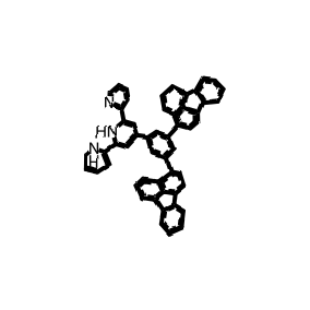 C1=CCNC(C2C=C(c3cc(-c4ccc5c6c(cccc46)-c4ccccc4-5)cc(-c4ccc5c6c(cccc46)-c4ccccc4-5)c3)C=C(c3ccccn3)N2)=C1